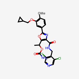 COc1ccc(-c2nc(C(=O)NCc3c(Cl)cncc3Cl)c(C(C)OC(N)=O)o2)cc1OCC1CC1